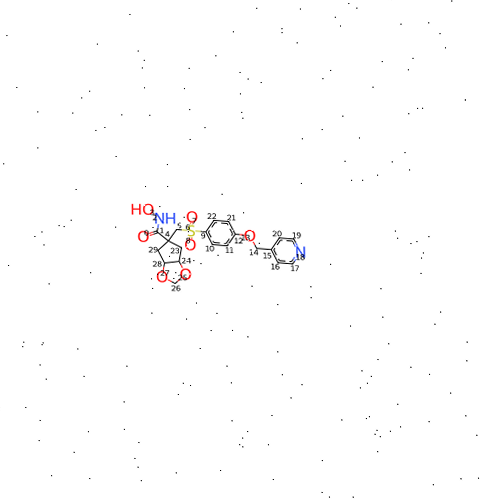 O=C(NO)C1(CS(=O)(=O)c2ccc(OCc3ccncc3)cc2)CC2OCOC2C1